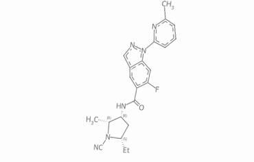 CC[C@H]1C[C@@H](NC(=O)c2cc3cnn(-c4cccc(C)n4)c3cc2F)[C@@H](C)N1C#N